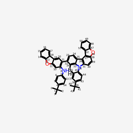 CC(C)(C)c1ccc(Nc2cc3oc4ccccc4c3cc2-c2ccc3c4c5c(ccc4n4c3c2Bc2cc(C(C)(C)C)ccc2-4)oc2ccccc25)cc1